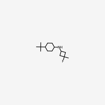 CC1(F)CC(NC2CCC(C(C)(C)C)CC2)C1